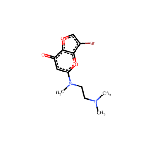 CN(C)CCN(C)c1cc(=O)c2occ(Br)c2o1